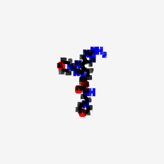 Nc1ncc(-c2nc(N3CCOCC3)nc3c2CCN3SOC(=O)NCCN2CCOCC2)cn1